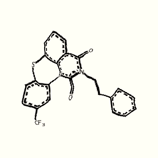 O=c1c2cccc3c2n(c(=O)n1CCc1ccccc1)-c1cc(C(F)(F)F)ccc1S3